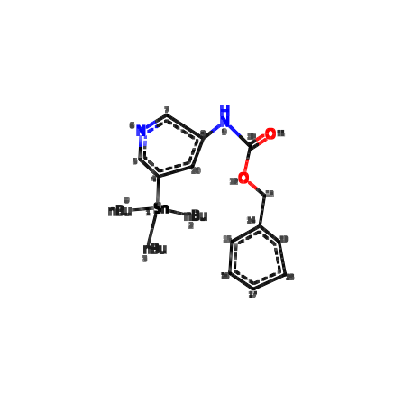 CCC[CH2][Sn]([CH2]CCC)([CH2]CCC)[c]1cncc(NC(=O)OCc2ccccc2)c1